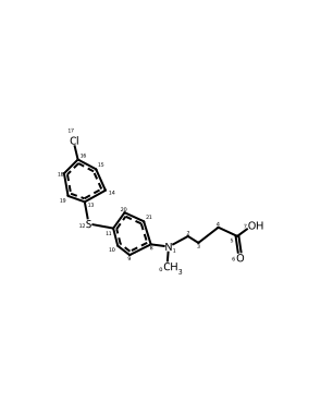 CN(CCCC(=O)O)c1ccc(Sc2ccc(Cl)cc2)cc1